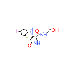 O=C(NCCCO)c1c[nH]c(=O)cc1Nc1ccc(I)cc1F